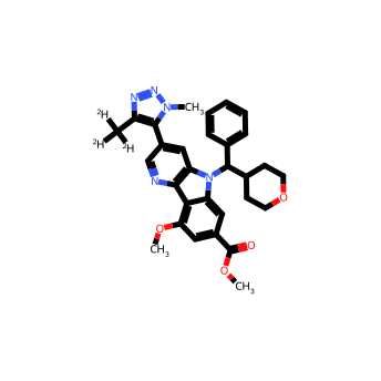 [2H]C([2H])([2H])c1nnn(C)c1-c1cnc2c3c(OC)cc(C(=O)OC)cc3n(C(c3ccccc3)C3CCOCC3)c2c1